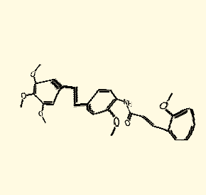 COc1ccccc1/C=C/C(=O)Nc1ccc(C=Cc2cc(OC)c(OC)c(OC)c2)cc1OC